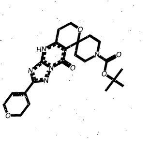 CC(C)(C)OC(=O)N1CCC2(CC1)OCCc1[nH]c3nc(C4=CCOCC4)nn3c(=O)c12